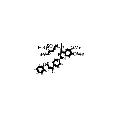 CC(C)CC(=O)CC(C)C.COc1cc2nc(N3CCN(C(=O)C4COc5ccccc5O4)CC3)nc(N)c2cc1OC.CS(=O)(=O)O